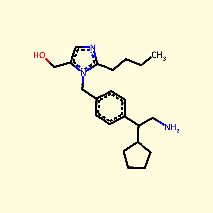 CCCCc1ncc(CO)n1Cc1ccc(C(CN)C2CCCC2)cc1